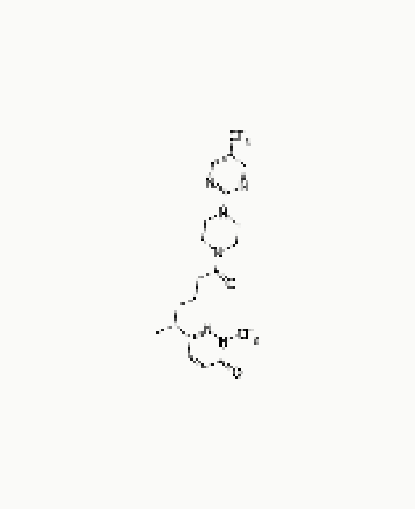 CC(CCCC(=O)N1CCN(c2ncc(C(F)(F)F)cn2)CC1)c1ccc(=O)n(C(F)(F)F)n1